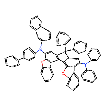 c1ccc(-c2ccc(N(c3ccc4ccccc4c3)c3cc4c(c5c3oc3ccccc35)-c3c(cc(N(c5ccccc5)c5ccccc5)c5c3oc3ccccc35)C4(c3ccccc3)c3ccccc3)cc2)cc1